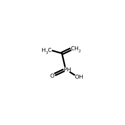 C=C(C)[PH](=O)O